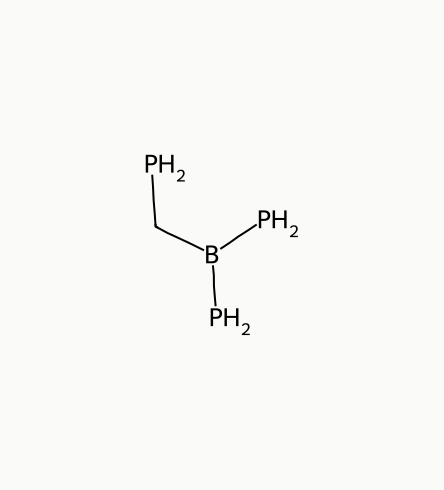 PCB(P)P